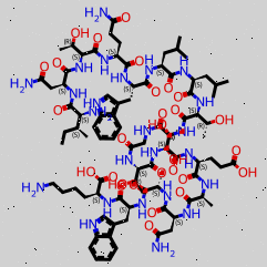 CC[C@H](C)[C@H](N)C(=O)N[C@@H](CC(N)=O)C(=O)N[C@H](C(=O)N[C@@H](CCC(N)=O)C(=O)N[C@@H](Cc1c[nH]c2ccccc12)C(=O)N[C@@H](CC(C)C)C(=O)N[C@@H](CC(C)C)C(=O)N[C@H](C(=O)N[C@@H](CO)C(=O)NCC(=O)N[C@H](C(=O)N[C@H](C(=O)N[C@@H](CCC(=O)O)C(=O)N[C@@H](C)C(=O)N[C@@H](CC(N)=O)C(=O)N[C@@H](C)C(=O)N[C@@H](Cc1c[nH]c2ccccc12)C(=O)N[C@@H](CCCCN)C(=O)O)[C@@H](C)O)[C@@H](C)O)[C@@H](C)O)[C@@H](C)O